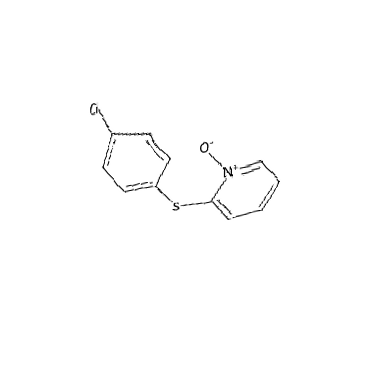 [O-][n+]1ccccc1Sc1ccc(Cl)cc1